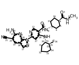 CNC(=O)[C@H]1CC[C@H](NC(=O)c2cnc(-n3ncc4cc(C#N)c(N)nc43)cc2N[C@H]2CCCC[C@@H]2F)CC1